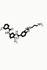 Cc1ccc(NC(=O)c2cccc(C(F)(F)F)c2)cc1NC(=O)c1ccc2nc(NCCCN)sc2c1